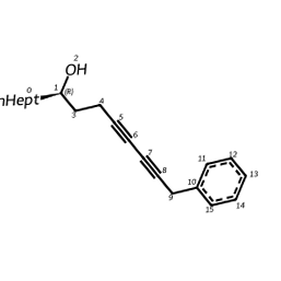 CCCCCCC[C@@H](O)CCC#CC#CCc1ccccc1